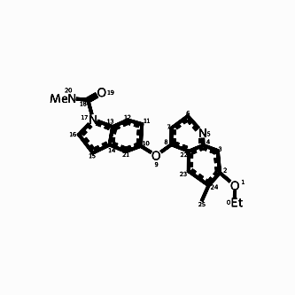 CCOc1cc2nccc(Oc3ccc4c(ccn4C(=O)NC)c3)c2cc1C